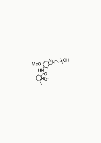 COc1cc2nn(CCC(C)(C)O)cc2cc1NC(=O)c1cccc(C)[n+]1[O-]